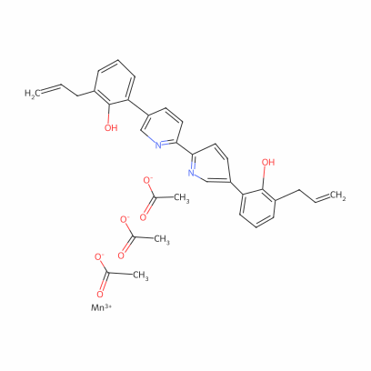 C=CCc1cccc(-c2ccc(-c3ccc(-c4cccc(CC=C)c4O)cn3)nc2)c1O.CC(=O)[O-].CC(=O)[O-].CC(=O)[O-].[Mn+3]